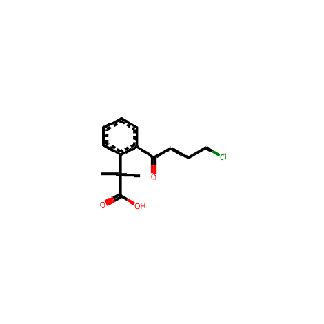 CC(C)(C(=O)O)c1ccccc1C(=O)CCCCl